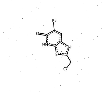 CCc1cc2nc(CCl)sc2[nH]c1=O